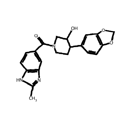 Cc1nc2cc(C(=O)N3CCC(c4ccc5c(c4)OCO5)C(O)C3)ccc2[nH]1